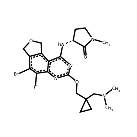 CN(C)CC1(COc2nc(N[C@@H]3CCN(C)C3=O)c3c4c(c(Br)c(F)c3n2)COC4)CC1